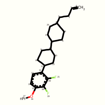 C=CCCC1CCC(C2CCC(c3ccc(OCCC)c(F)c3F)CC2)CC1